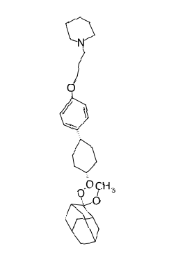 COC1(OO[C@H]2CC[C@@H](c3ccc(OCCCN4CCCCC4)cc3)CC2)C2CC3CC(C2)CC1C3